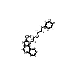 Cc1nc2cnc3ccccc3c2n1CCOCCCc1ccccc1